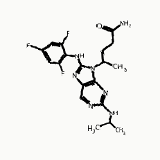 CC(C)Nc1ncc2nc(Nc3c(F)cc(F)cc3F)n(C(C)CCC(N)=O)c2n1